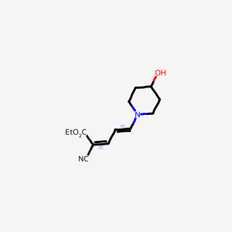 CCOC(=O)/C(C#N)=C\C=C\N1CCC(O)CC1